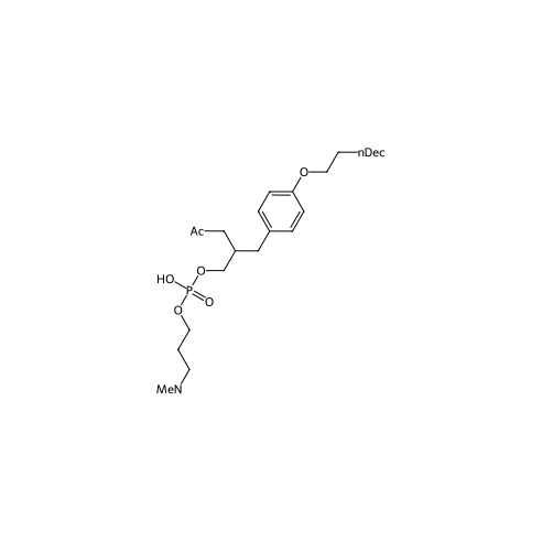 CCCCCCCCCCCCOc1ccc(CC(COP(=O)(O)OCCCNC)CC(C)=O)cc1